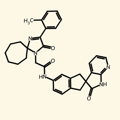 Cc1ccccc1C1=NC2(CCCCCC2)N(CC(=O)Nc2ccc3c(c2)CC2(C3)C(=O)Nc3ncccc32)C1=O